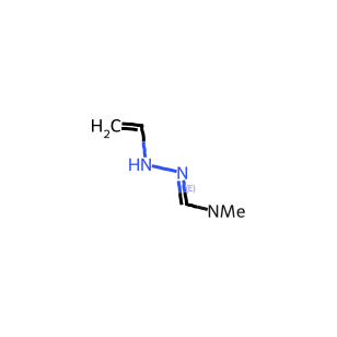 C=CN/N=C/NC